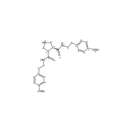 COc1ccc(CCNC(=O)C2CNC[C@H]2C(=O)NCCc2ccc(OC)cc2)cc1